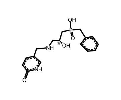 O=c1ccc(CNC[C@H](O)CP(=O)(O)Cc2ccccc2)c[nH]1